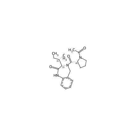 CC[C@H](C)[C@H]1C(=O)Nc2ccccc2CN1C(=O)[C@H]1CCCN1C(C)=O